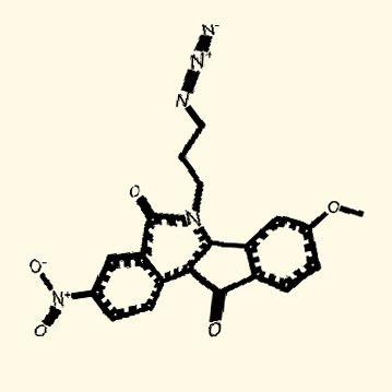 COc1ccc2c(c1)-c1c(c3ccc([N+](=O)[O-])cc3c(=O)n1CCCN=[N+]=[N-])C2=O